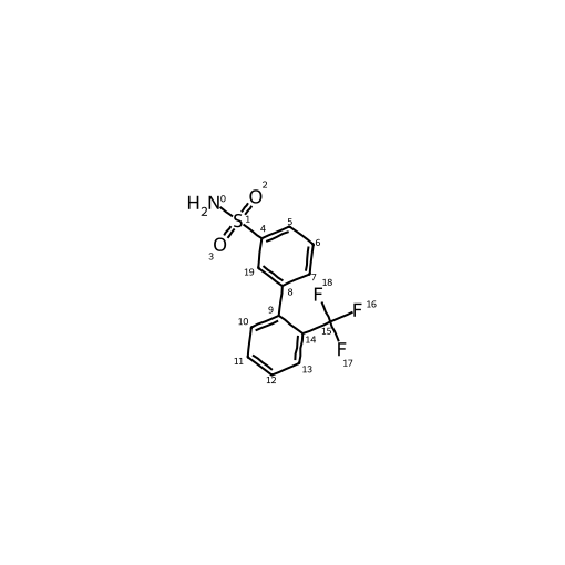 NS(=O)(=O)c1cccc(-c2ccccc2C(F)(F)F)c1